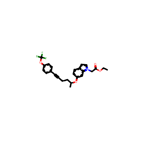 CCOC(=O)Cn1ccc2ccc(OC(C)CCC#Cc3ccc(OC(F)(F)F)cc3)cc21